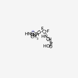 COC(=N)/C=C\C(=N)c1ccc(-c2cc(CNc3ccc([C@@H]4C[C@H]4C(=O)O)nc3)c(F)cc2F)cc1